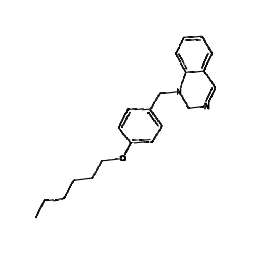 CCCCCCOc1ccc(CN2CN=Cc3ccccc32)cc1